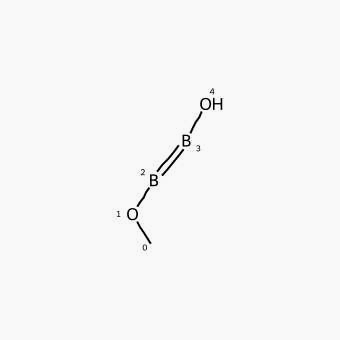 COB=BO